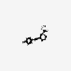 CC(C)(C)OC(=O)N1CCCC(C#Cc2ccc(F)cc2)C1